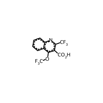 O=C(O)c1c(C(F)(F)F)nc2ccccc2c1OC(F)(F)F